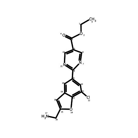 CCOC(=O)c1cnc(-c2cc(Cl)c3oc(CN)cc3c2)nc1